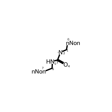 CCCCCCCCCC[N]C(=O)NCCCCCCCCCC